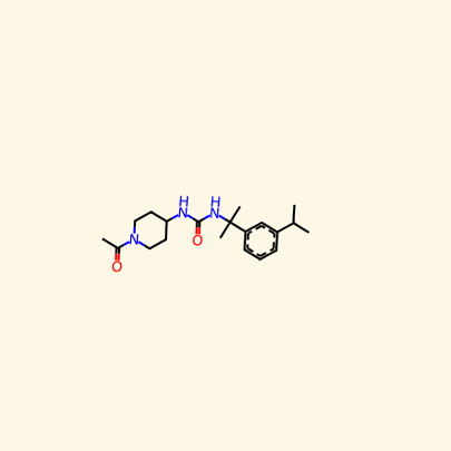 CC(=O)N1CCC(NC(=O)NC(C)(C)c2cccc(C(C)C)c2)CC1